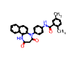 Cc1ccc(C)c(C(=O)Nc2ccc(N3C(=O)CC(=O)Nc4c3ccc3ccccc43)cc2)c1